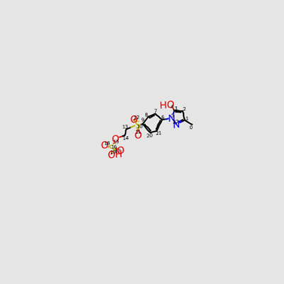 Cc1cc(O)n(-c2ccc(S(=O)(=O)CCOS(=O)(=O)O)cc2)n1